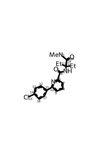 CCC(CC)(NC(=O)c1cccc(-c2ccc(Cl)cc2)n1)C(=O)NC